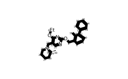 CCOc1nc(OCc2cccc(-c3ccccc3)c2C)ncc1CN1CCCC[C@H]1C